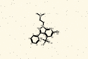 CN(C)CCn1nc(-c2ccccc2)c2c(C(F)(F)F)cc(Br)nc21